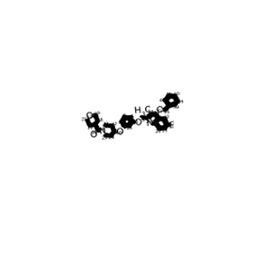 Cc1c(COc2cccc(OC3CCN(C(=O)C4CCOCC4)CC3)c2)nc2ccc(F)cc2c1OCc1ccccc1